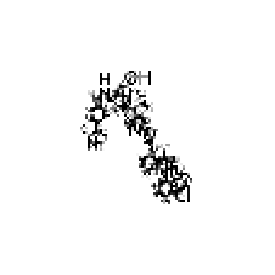 Cc1ncsc1-c1ccc([C@H](C)NC(=O)[C@@H]2C[C@@H](O)CN2C(=O)[C@@H](c2cc(OCCc3cccc4c3C(C)(C)c3nc(=O)c5c(Cl)cccc5n3-4)no2)C(C)C)cc1